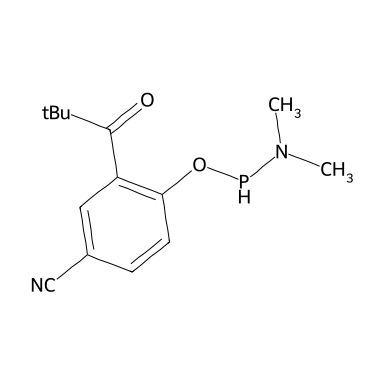 CN(C)POc1ccc(C#N)cc1C(=O)C(C)(C)C